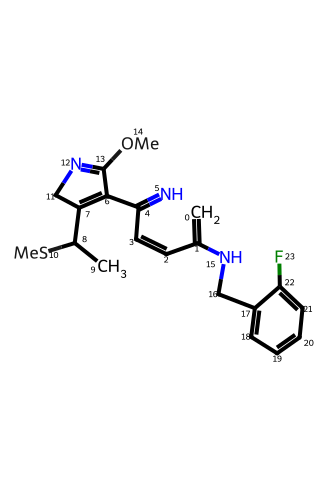 C=C(/C=C\C(=N)C1=C(C(C)SC)CN=C1OC)NCc1ccccc1F